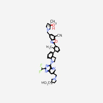 Cc1c(-c2nc3cc(CN4CC[C@@](C)(O)C4)cc(C#N)c3o2)cccc1-c1cccc2c1CCN2c1nc(C(F)F)nc2cc(CN3CC[C@@H](C(=O)O)C3)cnc12